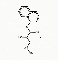 CC(C)(C)NCC(O)C(O)Oc1cccc2ccccc12